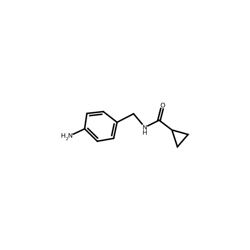 Nc1ccc(CNC(=O)C2CC2)cc1